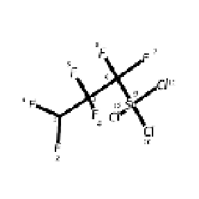 FC(F)C(F)(F)C(F)(F)[Si](Cl)(Cl)Cl